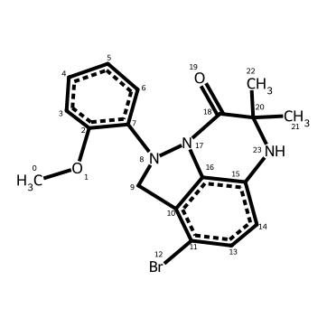 COc1ccccc1N1Cc2c(Br)ccc3c2N1C(=O)C(C)(C)N3